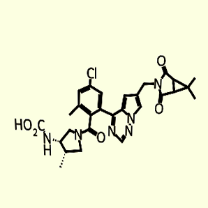 Cc1cc(Cl)cc(-c2ncnn3cc(CN4C(=O)C5C(C4=O)C5(C)C)cc23)c1C(=O)N1C[C@H](C)[C@H](NC(=O)O)C1